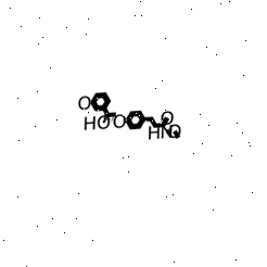 CONC(=O)CCc1ccc(OC[C@@H](O)c2cccc(OC)c2)cc1